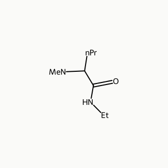 CCCC(NC)C(=O)NCC